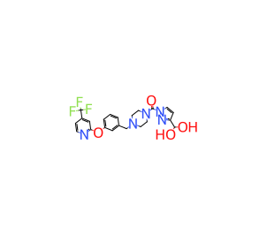 O=C(N1CCN(Cc2cccc(Oc3cc(C(F)(F)F)ccn3)c2)CC1)n1ccc(C(O)O)n1